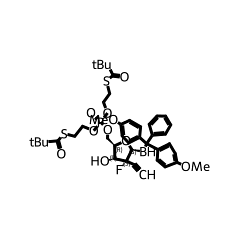 C#C[C@]1(F)[C@H](BC(c2ccccc2)(c2ccc(OC)cc2)c2ccc(OC)cc2)O[C@H](COP(=O)(OCCSC(=O)C(C)(C)C)OCCSC(=O)C(C)(C)C)[C@H]1O